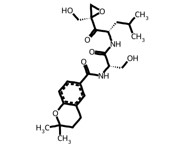 CC(C)C[C@H](NC(=O)[C@H](CO)NC(=O)c1ccc2c(c1)CCC(C)(C)O2)C(=O)[C@@]1(CO)CO1